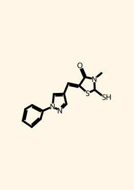 CN1C(=O)/C(=C/c2cnn(-c3ccccc3)c2)SC1S